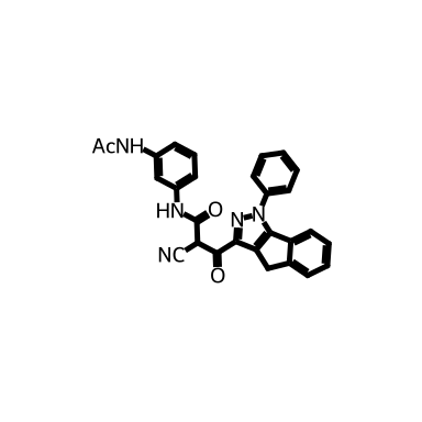 CC(=O)Nc1cccc(NC(=O)C(C#N)C(=O)c2nn(-c3ccccc3)c3c2Cc2ccccc2-3)c1